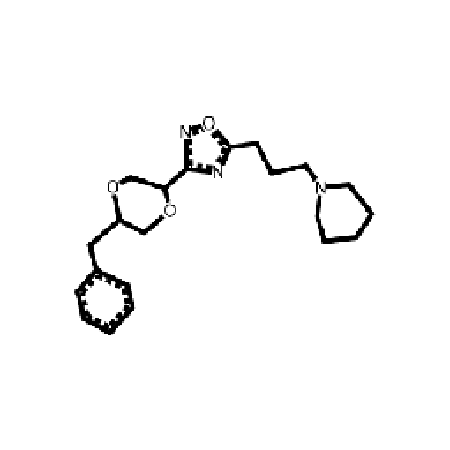 c1ccc(CC2COC(c3noc(CCCN4CCCCC4)n3)CO2)cc1